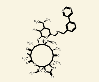 CC[C@H]1OC(=O)[C@@](C)(F)C(=O)[C@H](C)[C@@H](O[C@@H]2O[C@H](CNCc3cccc(-c4cncnc4)c3)CC(N(C)C)C2O)[C@](C)(OC)C[C@@H](C)C(=O)[C@H](C)[C@H]2NC(=O)O[C@@]21C